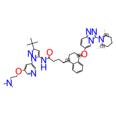 C[C@@H]1CCC[C@H](C)N1c1nnc2ccc(O[C@@H]3CC[C@H](CCCC(=O)Nc4cc(C(C)(C)C)nn4-c4cncc(OCCN(C)C)c4)c4ccccc43)cn12